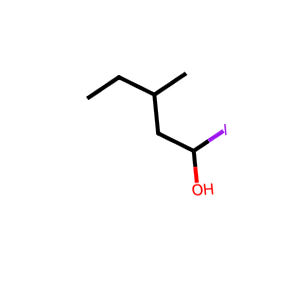 CCC(C)CC(O)I